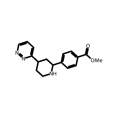 COC(=O)c1ccc(C2CC(c3cccnn3)CCN2)cc1